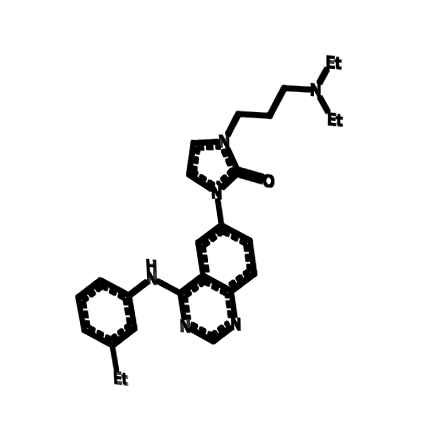 CCc1cccc(Nc2ncnc3ccc(-n4ccn(CCCN(CC)CC)c4=O)cc23)c1